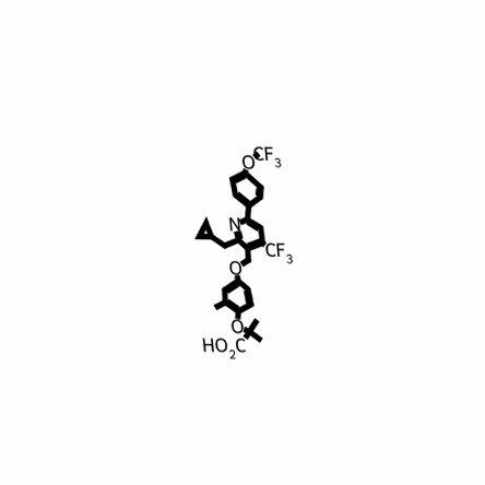 Cc1cc(OCc2c(C(F)(F)F)cc(-c3ccc(OC(F)(F)F)cc3)nc2CC2CC2)ccc1OC(C)(C)C(=O)O